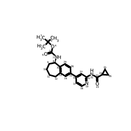 CC(C)(C)OC(=O)N[C@@H]1CCCCc2cc(-c3ccnc(NC(=O)C4CC4)c3)ccc21